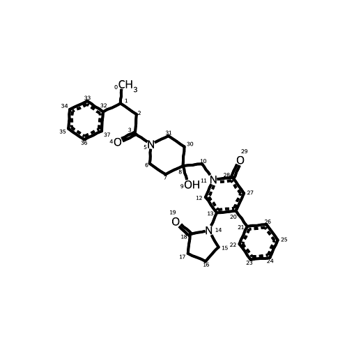 CC(CC(=O)N1CCC(O)(Cn2cc(N3CCCC3=O)c(-c3ccccc3)cc2=O)CC1)c1ccccc1